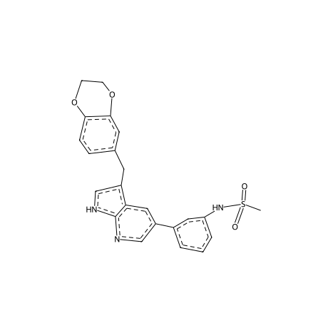 CS(=O)(=O)Nc1cccc(-c2cnc3[nH]cc(Cc4ccc5c(c4)OCCO5)c3c2)c1